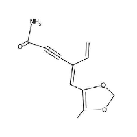 C=C/C(C#CC(N)=O)=C\C1=C(C)OCO1